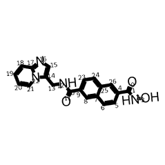 O=C(NO)c1ccc2cc(C(=O)NCc3cnc4ccccn34)ccc2c1